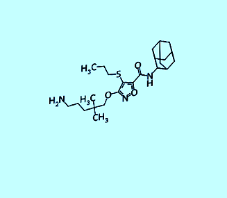 CCCSc1c(OCC(C)(C)CCCN)noc1C(=O)NC1C2CC3CC(C2)CC1C3